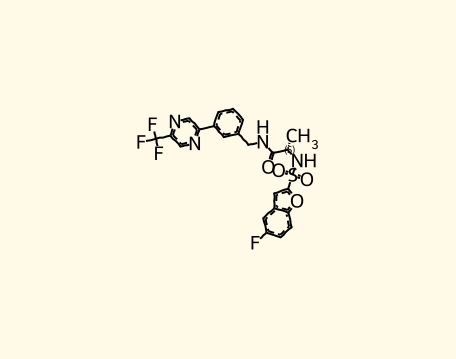 C[C@H](NS(=O)(=O)c1cc2cc(F)ccc2o1)C(=O)NCc1cccc(-c2cnc(C(F)(F)F)cn2)c1